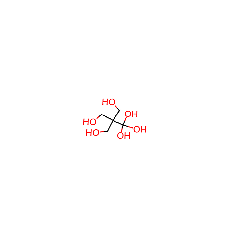 OCC(CO)(CO)C(O)(O)O